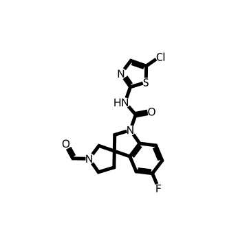 O=CN1CCC2(C1)CN(C(=O)Nc1ncc(Cl)s1)c1ccc(F)cc12